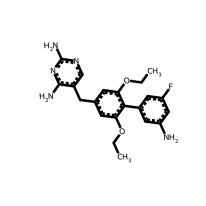 CCOc1cc(Cc2cnc(N)nc2N)cc(OCC)c1-c1cc(N)cc(F)c1